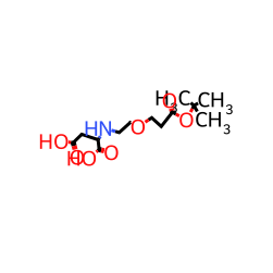 CC(C)(C)OC(=O)CCOCCNC(CC(=O)O)C(=O)O